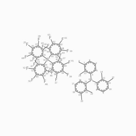 Cc1cccc(P(c2cccc(C)c2C)c2cccc(C)c2C)c1C.Fc1c(F)c(F)c([B-](c2c(F)c(F)c(F)c(F)c2F)(c2c(F)c(F)c(F)c(F)c2F)c2c(F)c(F)c(F)c(F)c2F)c(F)c1F